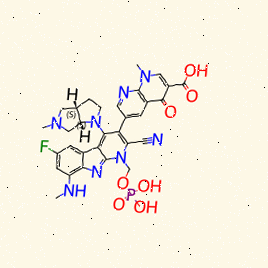 CNc1cc(F)cc2c3c(N4CC[C@H]5CN(C)C[C@H]54)c(-c4cnc5c(c4)c(=O)c(C(=O)O)cn5C)c(C#N)n(COP(=O)(O)O)c-3nc12